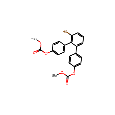 CC(C)(C)OC(=O)Oc1ccc(-c2cccc(S)c2-c2ccc(OC(=O)OC(C)(C)C)cc2)cc1